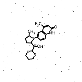 CC1CCC([C@@H](O)C2SCCCS2)N1c1ccc2[nH]c(=O)cc(C(F)(F)F)c2c1